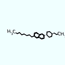 CCCCCCCCc1ccc2cc([C@H]3CC[C@H](CCC)CC3)ccc2c1